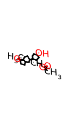 CC(=O)OCC[C@H]1C[C@@H](O)CC[C@]1(C)C1CC[C@]2(C)C(=O)CCC2C1